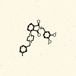 COc1ccc(CN2C(=O)c3cccc(N4CCN(Cc5cccc(C)c5)CC4)c3C2=O)cc1OC